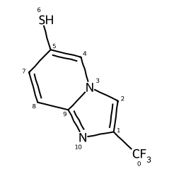 FC(F)(F)c1cn2cc(S)ccc2n1